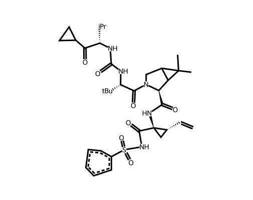 C=C[C@@H]1C[C@]1(NC(=O)[C@@H]1C2C(CN1C(=O)[C@@H](NC(=O)N[C@H](C(=O)C1CC1)C(C)C)C(C)(C)C)C2(C)C)C(=O)NS(=O)(=O)c1ccccc1